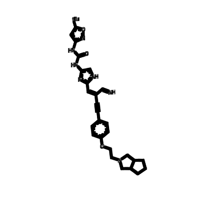 CC(C)(C)c1cc(NC(=O)Nc2c[nH]c(/C=C(/C#Cc3ccc(OCCN4CC5CCCC5C4)cc3)C=N)n2)no1